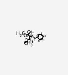 COC(=O)C(NCc1ccccc1)C(=O)OC